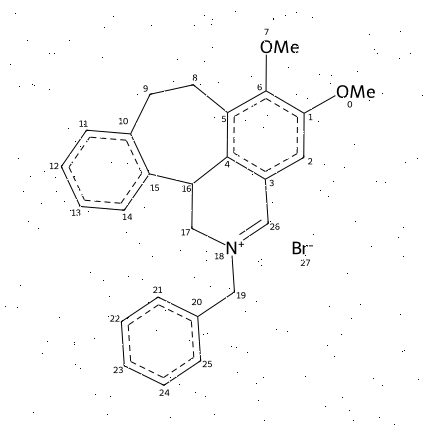 COc1cc2c3c(c1OC)CCc1ccccc1C3C[N+](Cc1ccccc1)=C2.[Br-]